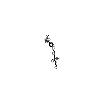 COCCCC(=O)NCCOCCOc1ccc(-c2nnc(SC)o2)cc1